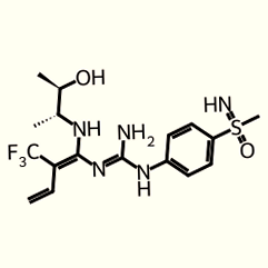 C=C/C(=C(\N=C(/N)Nc1ccc(S(C)(=N)=O)cc1)N[C@H](C)[C@@H](C)O)C(F)(F)F